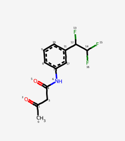 CC(=O)CC(=O)Nc1cccc(C(F)C(F)F)c1